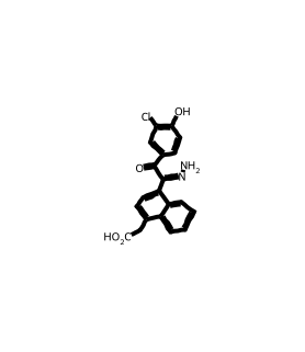 NN=C(C(=O)c1ccc(O)c(Cl)c1)c1ccc(CC(=O)O)c2ccccc12